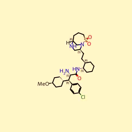 CO[C@H]1CC[C@H]([C@H](c2ccc(Cl)cc2)[C@H](N)C(=O)N[C@H]2CCCC[C@@H]2CC[C@H]2CN[C@@H]3CCCS(=O)(=O)N2C3)CC1